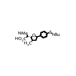 CCCCSc1ccc(C2C[C@@H](C)[C@H](C(NC)C(=O)O)O2)cc1